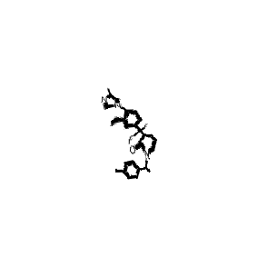 Cc1ccc(C(C)n2cccc(C(F)(F)c3ccc(-n4cnc(C)c4)c(C)c3)c2=O)cc1